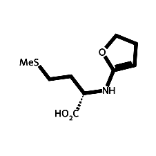 CSCC[C@H](NC1=CCCO1)C(=O)O